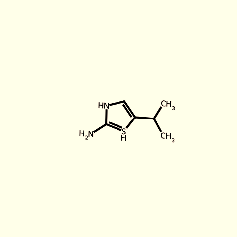 CC(C)C1=CNC(N)=[SH]1